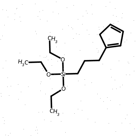 CCO[Si](CCCC1=CC=CC1)(OCC)OCC